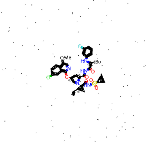 C=C[C@@H]1C[C@@]1(C(=O)NS(=O)(=O)C1CC1)N1C[C@H](Oc2ncc(OC)c3ccc(Cl)cc23)C[C@H]1C(=O)NC(=O)[C@@H](Nc1cccc(F)c1)C(C)(C)C